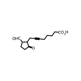 O=CC1CCC(=O)C1CC#CCCCCC(=O)O